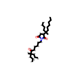 CCCCCCC(C)(CCCC)C1CC(=O)N(CCCCCC(=O)C(C)(CCC)CCC)C1=O